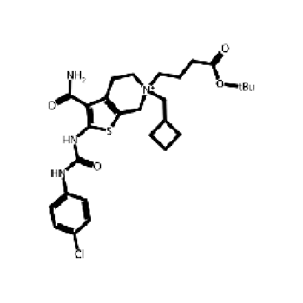 CC(C)(C)OC(=O)CCC[N+]1(CC2CCC2)CCc2c(sc(NC(=O)Nc3ccc(Cl)cc3)c2C(N)=O)C1